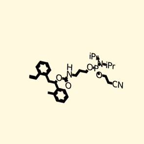 C=Cc1ccccc1CC(OC(=O)NCCCOP(OCCC#N)N(C(C)C)C(C)C)c1ccccc1C